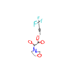 O=C(OCC#CC(F)(F)F)C(=O)N1CCOC1